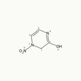 O=[N+]([O-])N1C=CN=C(O)C1